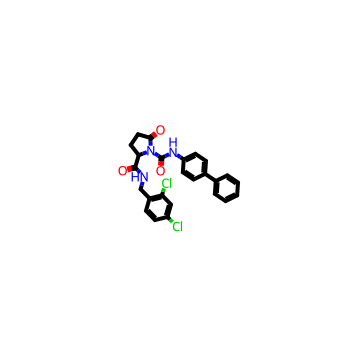 O=C(NCc1ccc(Cl)cc1Cl)C1CCC(=O)N1C(=O)Nc1ccc(-c2ccccc2)cc1